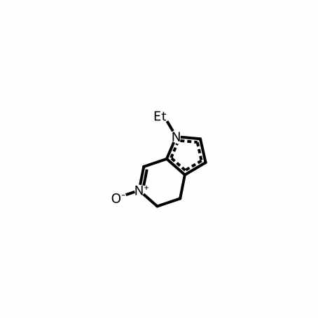 CCn1ccc2c1C=[N+]([O-])CC2